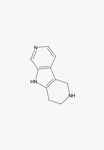 [c]1nccc2c3c([nH]c12)CCNC3